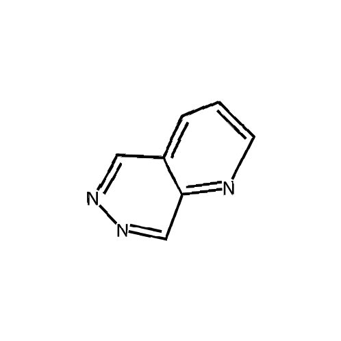 c1cnc2cnncc2c1